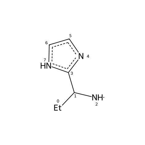 CCC([NH])c1ncc[nH]1